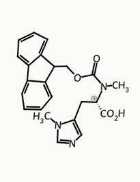 CN(C(=O)OCC1c2ccccc2-c2ccccc21)[C@@H](Cc1cncn1C)C(=O)O